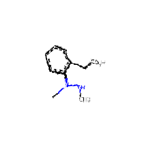 CN(NC=O)c1ccccc1CC(=O)O